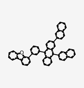 c1cc(-c2c3ccccc3c(-c3ccc4ccccc4c3)c3cc(-c4ccc5ccccc5c4)ccc23)cc(-c2cccc3c2oc2ccccc23)c1